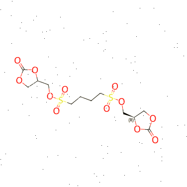 O=C1OCC(COS(=O)(=O)CCCCS(=O)(=O)OC[C@H]2COC(=O)O2)O1